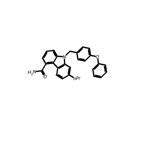 CCCc1c[c]c2c3c(C(N)=O)cccc3n(Cc3ccc(Oc4ccccc4)cc3)c2c1